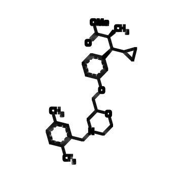 COC(=O)[C@@H](C)[C@H](c1cccc(OCC2CN(Cc3cc(C)ccc3C(F)(F)F)CCO2)c1)C1CC1